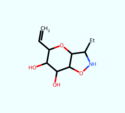 C=CC1OC2C(CC)NOC2C(O)C1O